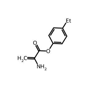 C=C(N)C(=O)Oc1ccc(CC)cc1